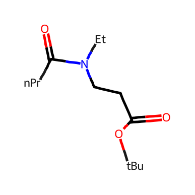 CCCC(=O)N(CC)CCC(=O)OC(C)(C)C